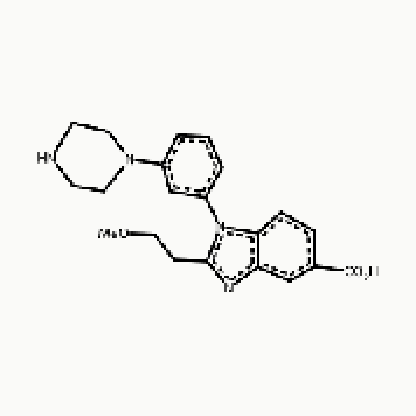 COCCc1nc2cc(C(=O)O)ccc2n1-c1cccc(N2CCNCC2)c1